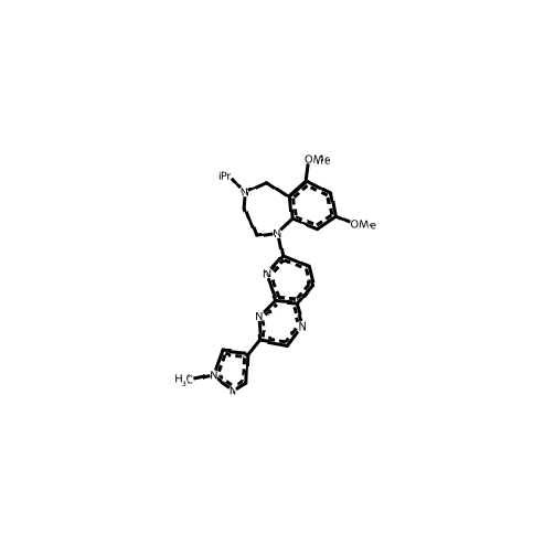 COc1cc(OC)c2c(c1)N(c1ccc3ncc(-c4cnn(C)c4)nc3n1)CCN(C(C)C)C2